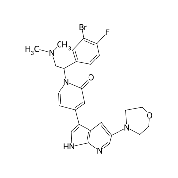 CN(C)CC(c1ccc(F)c(Br)c1)n1ccc(-c2c[nH]c3ncc(N4CCOCC4)cc23)cc1=O